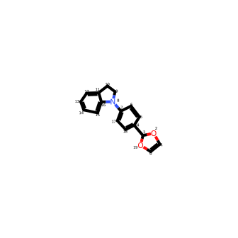 C1=COC(c2ccc(N3CCc4ccccc43)cc2)O1